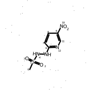 CS(=O)(=O)NNc1ccc([N+](=O)[O-])cn1